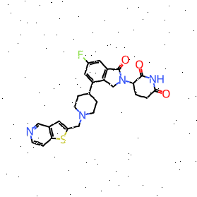 O=C1CCC(N2Cc3c(cc(F)cc3C3CCN(Cc4cc5cnccc5s4)CC3)C2=O)C(=O)N1